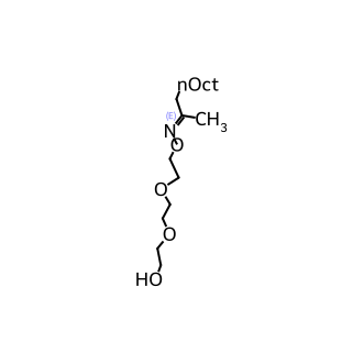 CCCCCCCCC/C(C)=N/OCCOCCOCCO